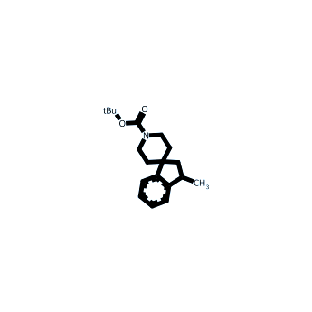 CC1CC2(CCN(C(=O)OC(C)(C)C)CC2)c2ccccc21